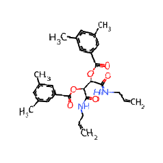 C=CCNC(=O)[C@@H](OC(=O)c1cc(C)cc(C)c1)[C@H](OC(=O)c1cc(C)cc(C)c1)C(=O)NCC=C